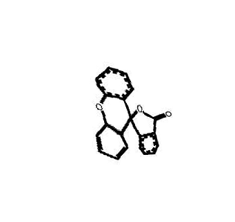 O=C1OC2(c3ccccc3OC3C=CC=CC32)c2ccccc21